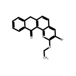 CCOc1nc2c3c(ccc2cc1Br)Cc1ccccc1C3=O